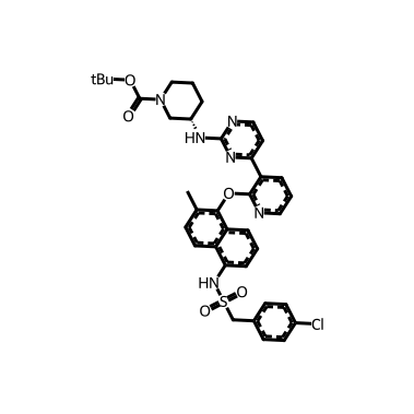 Cc1ccc2c(NS(=O)(=O)Cc3ccc(Cl)cc3)cccc2c1Oc1ncccc1-c1ccnc(N[C@H]2CCCN(C(=O)OC(C)(C)C)C2)n1